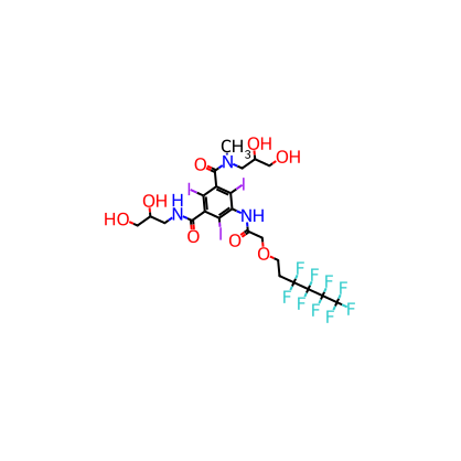 CN(CC(O)CO)C(=O)c1c(I)c(NC(=O)COCCC(F)(F)C(F)(F)C(F)(F)C(F)(F)F)c(I)c(C(=O)NCC(O)CO)c1I